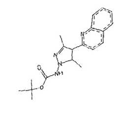 CC1=NN(NC(=O)OC(C)(C)C)C(C)C1c1ccc2ccccc2n1